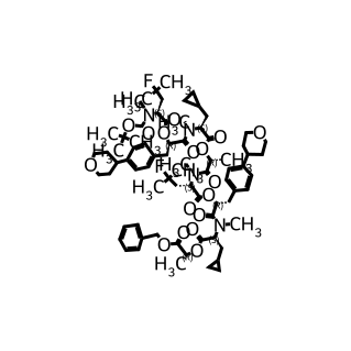 C[C@@H](OC(=O)[C@H](CC1CC1)N(C)C(=O)[C@@H](Cc1ccc(C2CCOCC2)cc1)OC(=O)[C@H](CC(C)(C)F)N(C)C(=O)[C@@H](C)OC(=O)[C@H](CC1CC1)N(C)C(=O)[C@@H](Cc1ccc(C2CCOCC2)cc1)OC(=O)[C@H](CC(C)(C)F)N(C)C(=O)OC(C)(C)C)C(=O)OCc1ccccc1